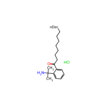 CCCCCCCCCCCCCCCCCC(=O)c1ccccc1C(C)(C)N.Cl